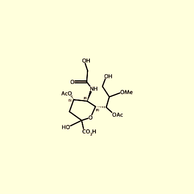 COC(CO)C(OC(C)=O)[C@@H]1OC(O)(C(=O)O)C[C@H](OC(C)=O)[C@H]1NC(=O)CO